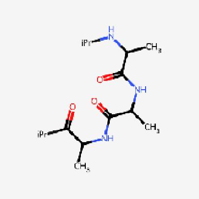 CC(C)NC(C)C(=O)NC(C)C(=O)NC(C)C(=O)C(C)C